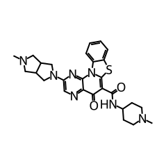 CN1CCC(NC(=O)c2c(=O)c3ncc(N4CC5CN(C)CC5C4)nc3n3c2sc2ccccc23)CC1